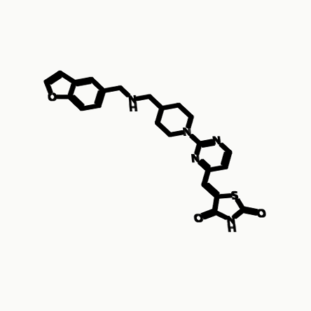 O=C1NC(=O)/C(=C/c2ccnc(N3CCC(CNCc4ccc5occc5c4)CC3)n2)S1